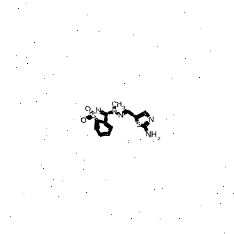 CN(/N=C/c1cnc(N)s1)C1=NS(=O)(=O)c2ccccc21